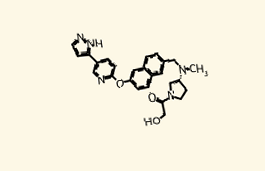 CN(Cc1ccc2cc(Oc3ccc(-c4ccn[nH]4)cn3)ccc2c1)[C@@H]1CCN(C(=O)CO)C1